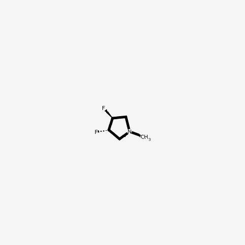 CN1C[C@H](F)[C@@H](F)C1